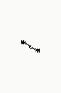 Cc1cn(CCCCCOCCCCn2cc(C)nn2)nn1